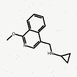 COc1ncc(CNC2CC2)c2ccccc12